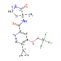 CCC(C)(NC(=O)c1cc(OCC(F)(F)F)c(C2CC2)cn1)C(N)=O